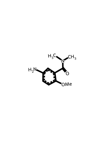 COc1ccc(N)cc1C(=O)N(C)C